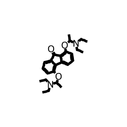 CCN(CC)C(C)Oc1cccc2c1C(=O)c1cccc(OC(C)N(CC)CC)c1-2